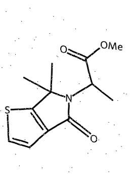 COC(=O)C(C)N1C(=O)c2ccsc2C1(C)C